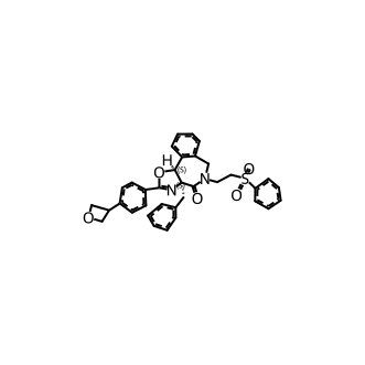 O=C1N(CCS(=O)(=O)c2ccccc2)Cc2ccccc2[C@@H]2OC(c3ccc(C4COC4)cc3)=N[C@]12Cc1ccccc1